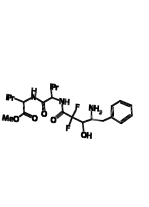 COC(=O)C(NC(=O)C(NC(=O)C(F)(F)C(O)C(N)Cc1ccccc1)C(C)C)C(C)C